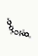 O=C(c1cnc(-c2cc[n+]([O-])cc2)cn1)N1CCN(S(=O)(=O)c2cc3cc(Cl)ccc3[nH]2)CC1